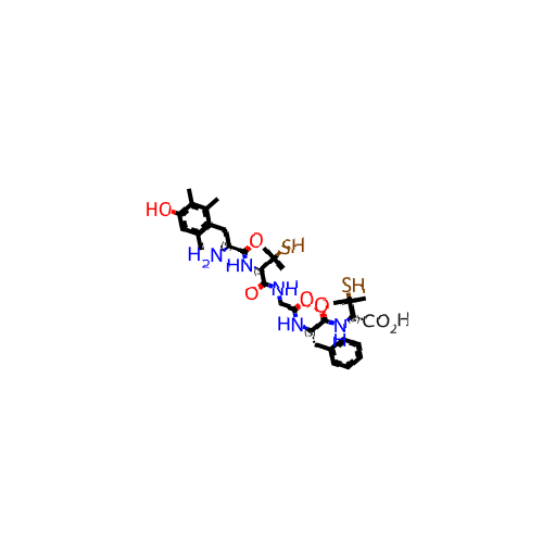 Cc1cc(O)c(C)c(C)c1C[C@H](N)C(=O)N[C@@H](C(=O)NCC(=O)N[C@@H](Cc1ccccc1)C(=O)N[C@@H](C(=O)O)C(C)(C)S)C(C)(C)S